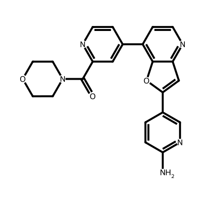 Nc1ccc(-c2cc3nccc(-c4ccnc(C(=O)N5CCOCC5)c4)c3o2)cn1